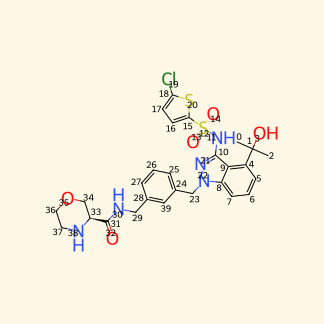 CC(C)(O)c1cccc2c1c(NS(=O)(=O)c1ccc(Cl)s1)nn2Cc1cccc(CNC(=O)[C@@H]2COCCN2)c1